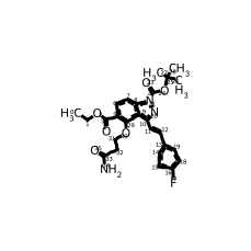 CCOC(=O)c1ccc2c(c(C=Cc3ccc(F)cc3)nn2C(=O)OC(C)(C)C)c1OCCC(N)=O